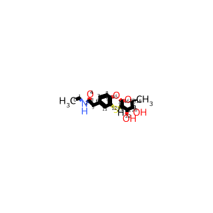 CCNC(=O)Cc1ccc2c(c1)S[C@@H]1C(O2)O[C@@H](C)[C@@H](O)C1O